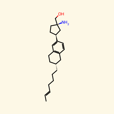 C/C=C/CCCC[C@@H]1CCc2cc([C@H]3CC[C@](N)(CO)C3)ccc2C1